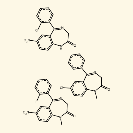 CN1C(=O)CN=C(c2ccccc2)c2cc(Cl)ccc21.CN1C(=O)CN=C(c2ccccc2F)c2cc([N+](=O)[O-])ccc21.O=C1CN=C(c2ccccc2Cl)c2cc([N+](=O)[O-])ccc2N1